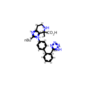 CCCCc1nc2c(n1-c1ccc(-c3ccccc3-c3nnn[nH]3)cc1)C(C)(C(=O)O)NCC2